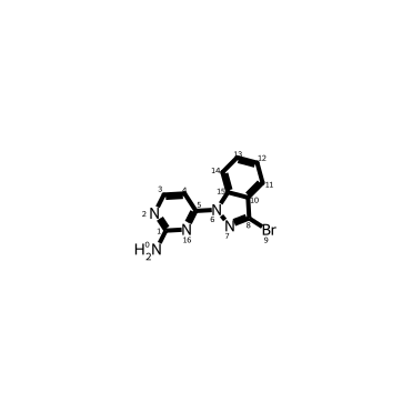 Nc1nccc(-n2nc(Br)c3ccccc32)n1